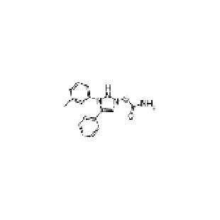 Cc1cccc(N2NN(SC(N)=O)C=C2c2ccccc2)c1